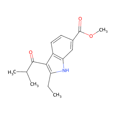 CCc1[nH]c2cc(C(=O)OC)ccc2c1C(=O)C(C)C